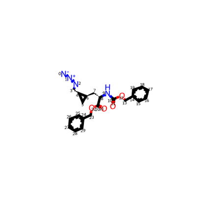 [N-]=[N+]=NC[C@H]1C[C@@H]1C[C@H](NC(=O)OCc1ccccc1)C(=O)OCc1ccccc1